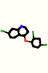 Fc1ccc(Oc2ccnc3cc(Cl)ccc23)c(F)c1